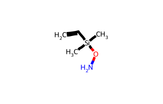 C=C[Si](C)(C)ON